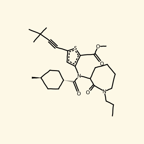 CCCN1CCCCC(N(c2cc(C#CC(C)(C)C)sc2C(=O)OC)C(=O)[C@H]2CC[C@H](C)CC2)C1=O